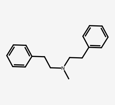 CN(CCc1ccccc1)CCc1ccccc1